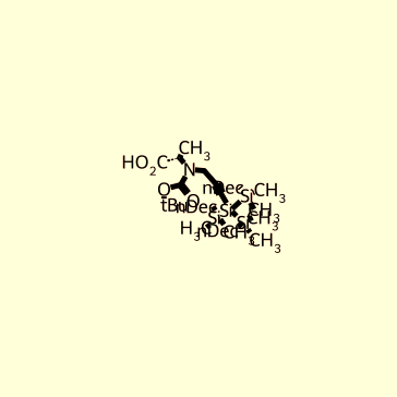 CCCCCCCCCC[Si](C)(C)[Si](C#CCN(C(=O)OC(C)(C)C)[C@@H](C)C(=O)O)([Si](C)(C)CCCCCCCCCC)[Si](C)(C)CCCCCCCCCC